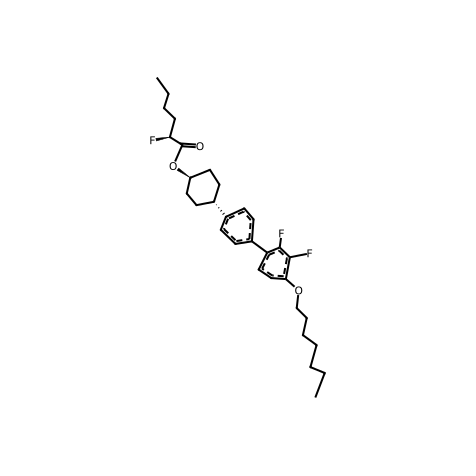 CCCCCCCOc1ccc(-c2ccc([C@H]3CC[C@H](OC(=O)[C@@H](F)CCCC)CC3)cc2)c(F)c1F